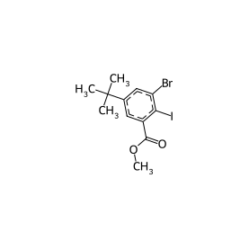 COC(=O)c1cc(C(C)(C)C)cc(Br)c1I